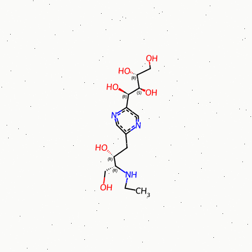 CCN[C@H](CO)[C@H](O)Cc1cnc([C@@H](O)[C@H](O)[C@H](O)CO)cn1